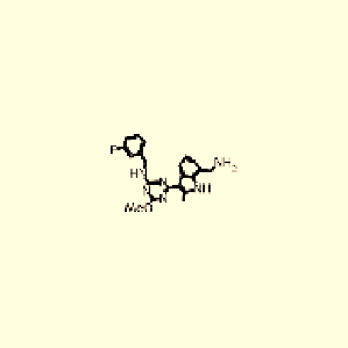 COc1nc(NCc2cccc(F)c2)nc(-c2c(C)[nH]c3c(CN)cccc23)n1